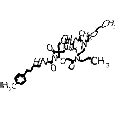 CCCN(CCN(CCOCC)C(C)C)C(=O)CO[C@@H]1N(C(=O)NCCCCc2ccc(C)cc2)C(=O)C1(CC)CC